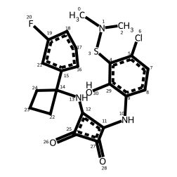 CN(C)Sc1c(Cl)ccc(Nc2c(NC3(c4cccc(F)c4)CCC3)c(=O)c2=O)c1O